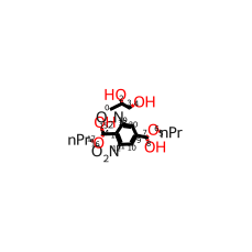 CC(O)CO.CCCOC(O)c1cc([N+](=O)[O-])c(C(O)OCCC)c([N+](=O)[O-])c1